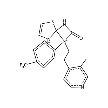 Cc1cnccc1CC[N+]1(c2ccc(C(F)(F)F)cc2)C(=O)NC12NC=CS2